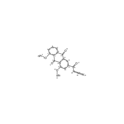 CCCOc1cccc2c1C(=O)c1c(OCCC)cc(C(=O)N=[N+]=[N-])cc1C2=O